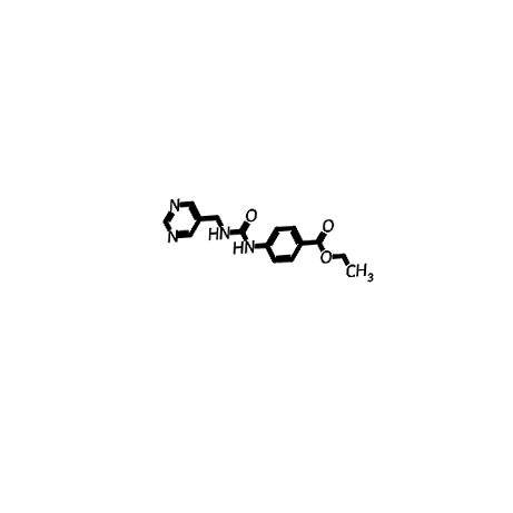 CCOC(=O)c1ccc(NC(=O)NCc2cncnc2)cc1